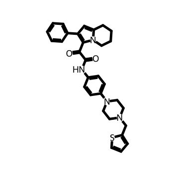 O=C(Nc1ccc(N2CCN(Cc3cccs3)CC2)cc1)C(=O)c1c(-c2ccccc2)cc2n1CCCC2